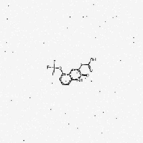 O=C(O)Cc1cc2c(OC(F)(F)F)cccc2[nH]c1=O